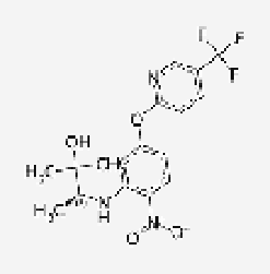 C[C@H](Nc1cc(Oc2ccc(C(F)(F)F)cn2)ccc1[N+](=O)[O-])C(C)(C)O